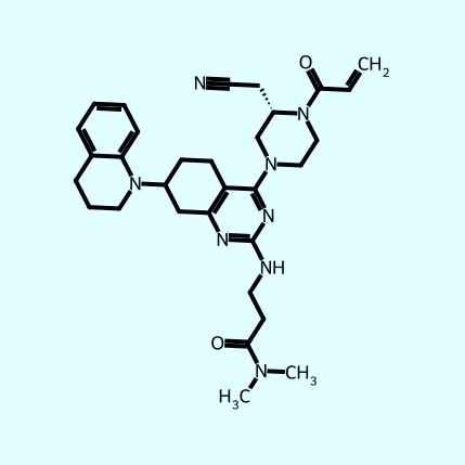 C=CC(=O)N1CCN(c2nc(NCCC(=O)N(C)C)nc3c2CCC(N2CCCc4ccccc42)C3)C[C@@H]1CC#N